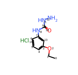 CCOc1cccc(NC(=O)NN)c1.Cl